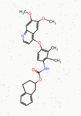 COc1cc2nccc(Oc3ccc(NC(=O)OC4CCc5ccccc5C4)c(C)c3C)c2cc1OC